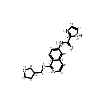 O=C(Nc1ccc2c(OCC3CCOC3)nccc2c1)c1ncc[nH]1